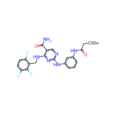 COCC(=O)Nc1cccc(Nc2ncc(C(N)=O)c(NCc3c(F)ccc(F)c3F)n2)c1